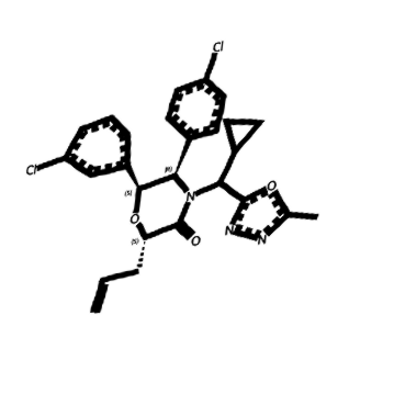 C=CC[C@@H]1O[C@@H](c2cccc(Cl)c2)[C@@H](c2ccc(Cl)cc2)N(C(c2nnc(C)o2)C2CC2)C1=O